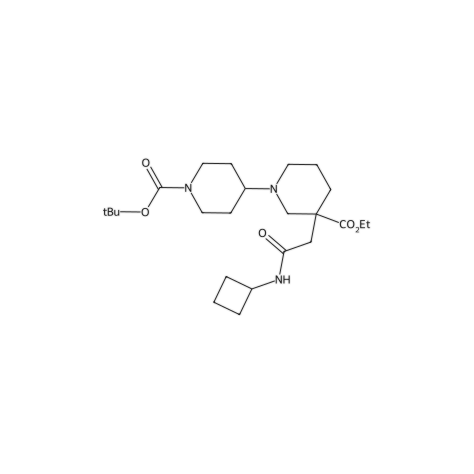 CCOC(=O)C1(CC(=O)NC2CCC2)CCCN(C2CCN(C(=O)OC(C)(C)C)CC2)C1